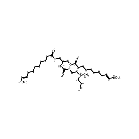 CCCCCCCCC=CCCCCCCCC(=O)OCC(COC(=O)CCCCCCCC=CCCCCCCCC)NC(=O)OCCN(C)CCO